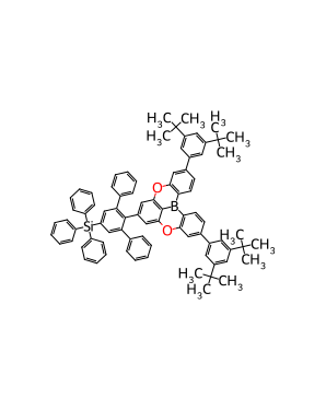 CC(C)(C)c1cc(-c2ccc3c(c2)Oc2cc(-c4c(-c5ccccc5)cc([Si](c5ccccc5)(c5ccccc5)c5ccccc5)cc4-c4ccccc4)cc4c2B3c2ccc(-c3cc(C(C)(C)C)cc(C(C)(C)C)c3)cc2O4)cc(C(C)(C)C)c1